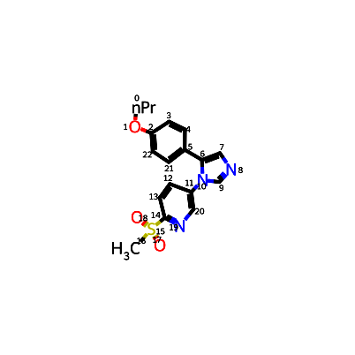 CCCOc1ccc(-c2cncn2-c2ccc(S(C)(=O)=O)nc2)cc1